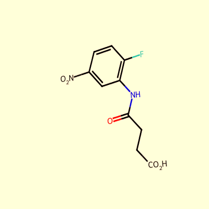 O=C(O)CCC(=O)Nc1cc([N+](=O)[O-])ccc1F